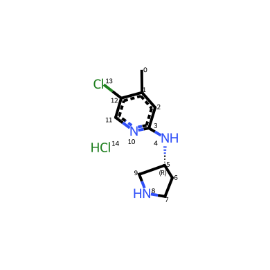 Cc1cc(N[C@@H]2CCNC2)ncc1Cl.Cl